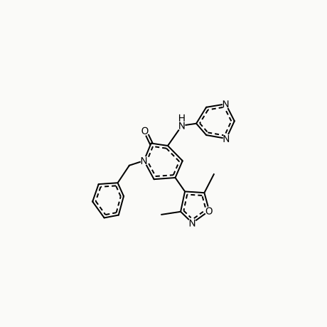 Cc1noc(C)c1-c1cc(Nc2cncnc2)c(=O)n(Cc2ccccc2)c1